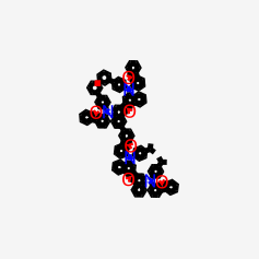 CC(C)c1ccc(N(c2cc3c4cc(N(c5ccc(C(C)C)cc5)c5cccc6c5oc5ccc(-c7ccc8c(N(c9ccc(C%10CCCCC%10)cc9)c9cccc%10c9oc9ccccc9%10)cc9c%10cc(N(c%11ccc(C%12CCCCC%12)cc%11)c%11cccc%12c%11oc%11ccccc%11%12)c%11ccccc%11c%10oc9c8c7)cc56)c5ccccc5c4oc3c3ccccc23)c2cccc3c2oc2ccccc23)cc1